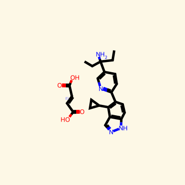 CCC(N)(CC)c1ccc(-c2ccc3[nH]ncc3c2C2CC2)nc1.O=C(O)/C=C/C(=O)O